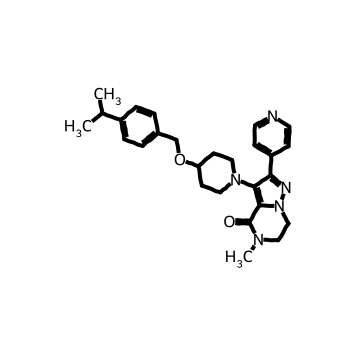 CC(C)c1ccc(COC2CCN(c3c(-c4ccncc4)nn4c3C(=O)N(C)CC4)CC2)cc1